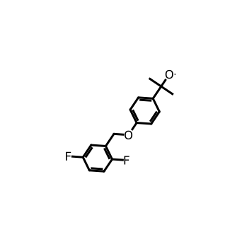 CC(C)([O])c1ccc(OCc2cc(F)ccc2F)cc1